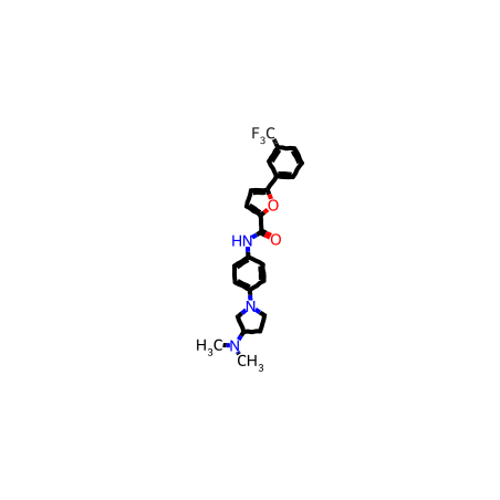 CN(C)C1CCN(c2ccc(NC(=O)c3ccc(-c4cccc(C(F)(F)F)c4)o3)cc2)C1